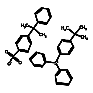 CC(C)(C)c1ccc([S+](c2ccccc2)c2ccccc2)cc1.CC(C)(c1ccccc1)c1ccc(S(=O)(=O)[O-])cc1